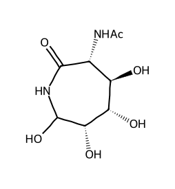 CC(=O)N[C@H]1C(=O)NC(O)[C@@H](O)[C@@H](O)[C@@H]1O